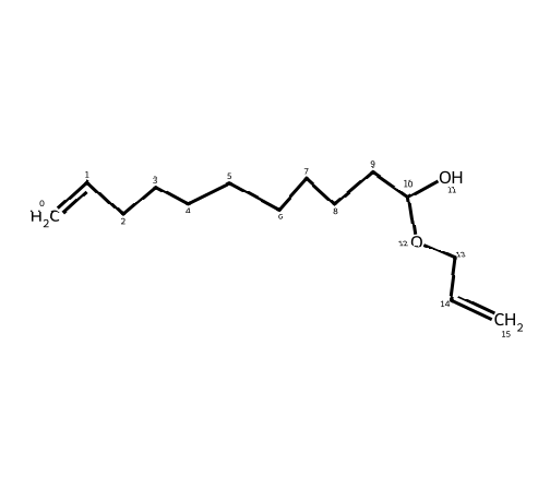 C=CCCCCCCCCC(O)OCC=C